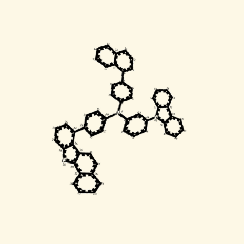 c1cc(N(c2ccc(-c3cccc4ccccc34)cc2)c2ccc(-c3cccc4oc5c6ccccc6ccc5c34)cc2)cc(-n2c3ccccc3c3ccccc32)c1